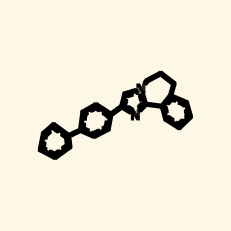 c1ccc(-c2ccc(-c3cn4c(n3)-c3ccccc3CCC4)cc2)cc1